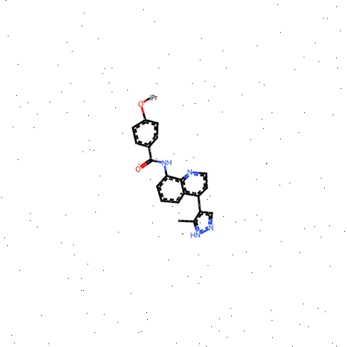 Cc1[nH]ncc1-c1ccnc2c(NC(=O)c3ccc(OC(C)C)cc3)cccc12